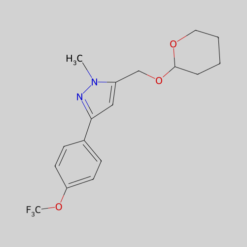 Cn1nc(-c2ccc(OC(F)(F)F)cc2)cc1COC1CCCCO1